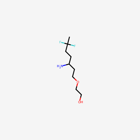 CC(F)(F)CCC(N)CCOCCO